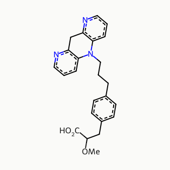 COC(Cc1ccc(CCCN2c3cccnc3Cc3ncccc32)cc1)C(=O)O